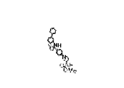 COC(=O)NC1CCN(c2ccc(C(=O)Nc3cc(-c4ccccc4)ccc3N)cc2)C1